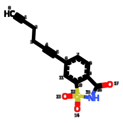 C#CCCC#Cc1ccc2c(c1)S(=O)(=O)NC2=O